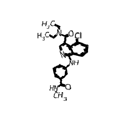 CCN(CC)C(=O)c1cnc(Nc2cccc(C(=O)NC)c2)c2cccc(Cl)c12